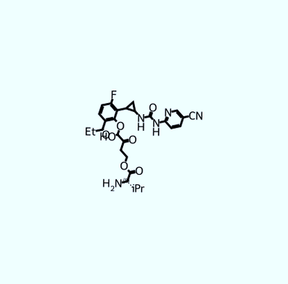 CCC(=O)c1ccc(F)c(C2CC2NC(=O)Nc2ccc(C#N)cn2)c1OC(O)C(=O)CCOC(=O)[C@@H](N)C(C)C